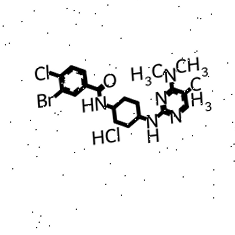 Cc1cnc(NC2CCC(NC(=O)c3ccc(Cl)c(Br)c3)CC2)nc1N(C)C.Cl